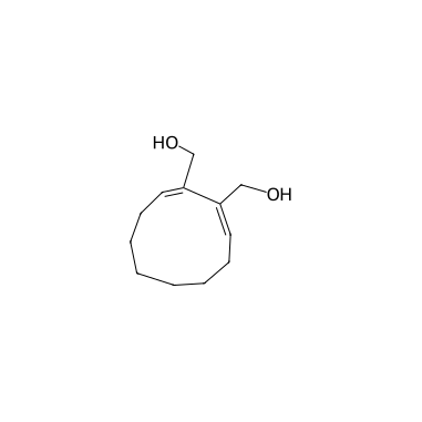 OCC1=CCCCCCCC=C1CO